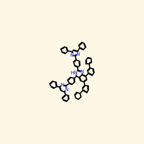 C1=CC(c2cccc(-c3cc(-c4cccc(-c5ccccc5)c4)c4c(c3)C(c3ccc(-c5nc(-c6ccccc6)cc(-c6ccccc6)n5)cc3)NC(c3ccc(-c5nc(-c6ccccc6)cc(-c6ccccc6)n5)cc3)=N4)c2)CCC1